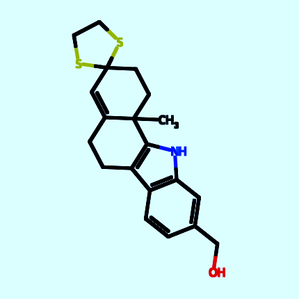 CC12CCC3(C=C1CCc1c2[nH]c2cc(CO)ccc12)SCCS3